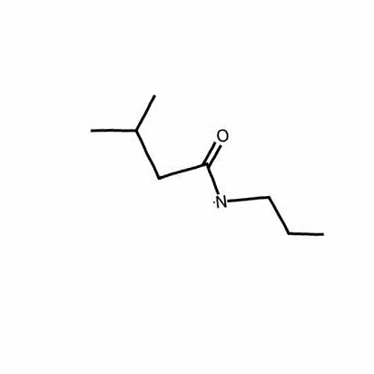 CCC[N]C(=O)CC(C)C